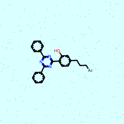 CC(=O)CCCc1ccc(-c2nc(-c3ccccc3)nc(-c3ccccc3)n2)c(O)c1